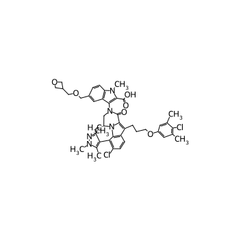 Cc1cc(OCCCc2c3n(c4c(-c5c(C)nn(C)c5C)c(Cl)ccc24)[C@H](C)CN(c2c(C(=O)O)n(C)c4ccc(COCC5COC5)cc24)C3=O)cc(C)c1Cl